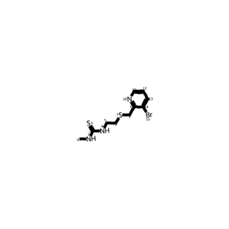 CNC(=S)NCCSCc1ncccc1Br